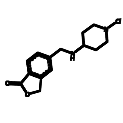 O=C1OCc2cc(CNC3CCN(Cl)CC3)ccc21